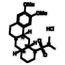 COc1cc2c(cc1OC)[C@H]1C[C@H]3[C@H](CCCN3S(=O)(=O)N(C)C)CN1CC2.Cl